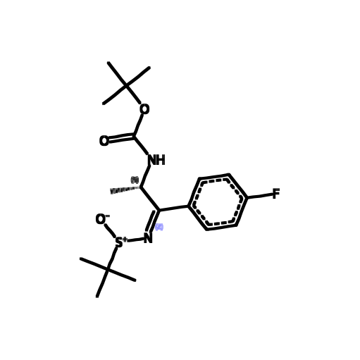 C[C@H](NC(=O)OC(C)(C)C)/C(=N\[S+]([O-])C(C)(C)C)c1ccc(F)cc1